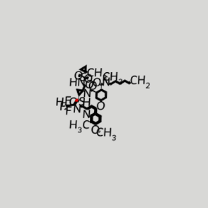 C=CCCCCN(C)C(=O)[C@@H]1CC[C@H](Oc2cc(-c3nc(C(F)(F)F)cs3)nc3c(C)c(OC)ccc23)C[C@H]1C(=O)N[C@]1(C(=O)NS(=O)(=O)C2(C)CC2)C[C@H]1C=C